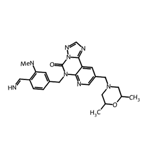 CNc1cc(Cn2c(=O)n3ncnc3c3cc(CN4CC(C)OC(C)C4)cnc32)ccc1C=N